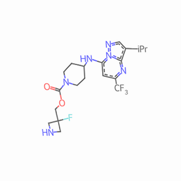 CC(C)c1cnn2c(NC3CCN(C(=O)OCC4(F)CNC4)CC3)cc(C(F)(F)F)nc12